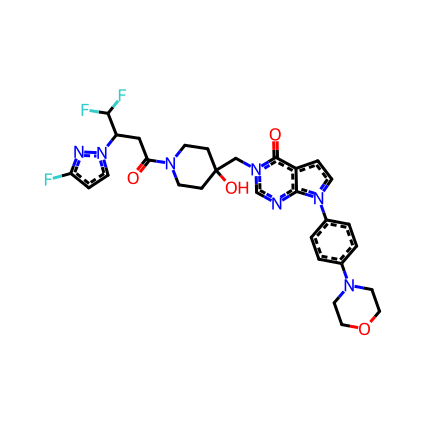 O=C(CC(C(F)F)n1ccc(F)n1)N1CCC(O)(Cn2cnc3c(ccn3-c3ccc(N4CCOCC4)cc3)c2=O)CC1